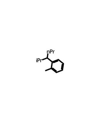 CCCC(c1ccccc1C)C(C)C